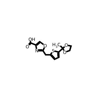 CC1(c2ccc(Cc3nc(C(=O)O)co3)s2)OCCO1